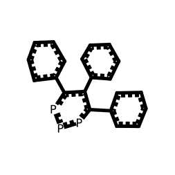 c1ccc(-c2pppc(-c3ccccc3)c2-c2ccccc2)cc1